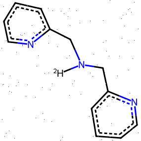 [2H]N(Cc1ccccn1)Cc1ccccn1